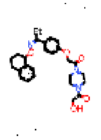 CCC(=NOC1CCCc2ccccc21)c1ccc(OCC(=O)N2CCN(C(=O)CO)CC2)cc1